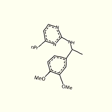 C[CH]Cc1ccnc(NC(C)c2ccc(OC)c(OC)c2)n1